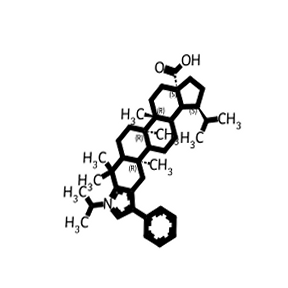 CC(C)[C@@H]1CC[C@]2(C(=O)O)CC[C@]3(C)C(CCC4[C@@]5(C)Cc6c(-c7ccccc7)cn(C(C)C)c6C(C)(C)C5CC[C@]43C)C12